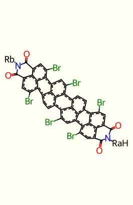 O=C1c2cc(Br)c3c4ccc5c6c(Br)cc7c8c(Br)cc9c%10c(cc(Br)c(c%11ccc(c%12c(Br)cc(c%13c(Br)cc(c2c3%13)C(=O)[N]1[Rb])c4c5%12)c6c%117)c%108)C(=O)[N]([RaH])C9=O